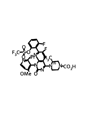 COc1ccnc(C(C)C)c1-n1c(=O)nc(N2CCN(C(=O)O)C[C@@H]2C)c2cc(F)c(-c3c(F)cccc3OS(=O)(=O)C(F)(F)F)nc21